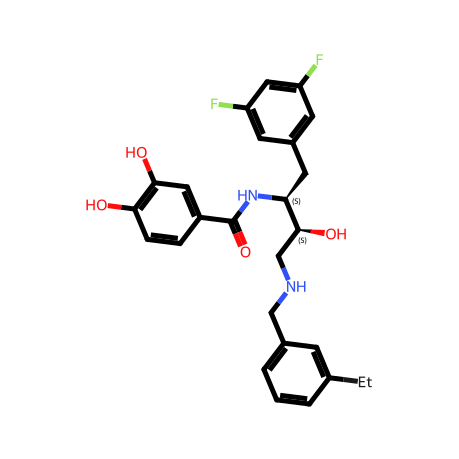 CCc1cccc(CNC[C@H](O)[C@H](Cc2cc(F)cc(F)c2)NC(=O)c2ccc(O)c(O)c2)c1